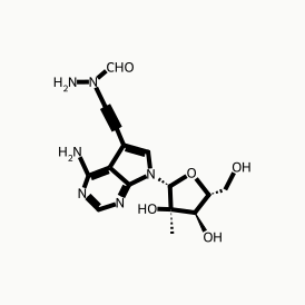 C[C@@]1(O)[C@H](O)[C@@H](CO)O[C@H]1n1cc(C#CN(N)C=O)c2c(N)ncnc21